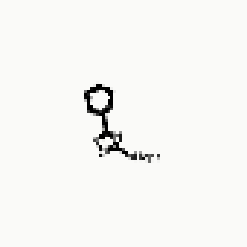 CCCCCCCc1nc(-c2cc[c]cc2)no1